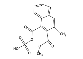 COC(=O)c1c(C)cc2ccccc2c1C(=O)OS(=O)(=O)O